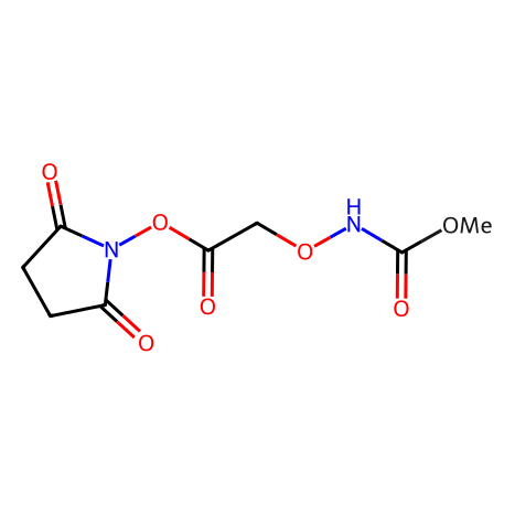 COC(=O)NOCC(=O)ON1C(=O)CCC1=O